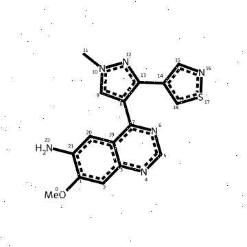 COc1cc2ncnc(-c3cn(C)nc3-c3cnsc3)c2cc1N